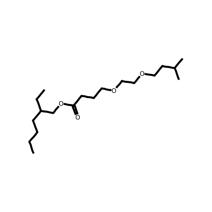 CCCCC(CC)COC(=O)CCCOCCOCCC(C)C